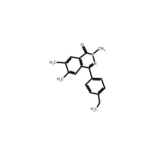 CCc1ccc(-c2nn(C)c(=O)c3cc(C)c(C)cc23)cc1